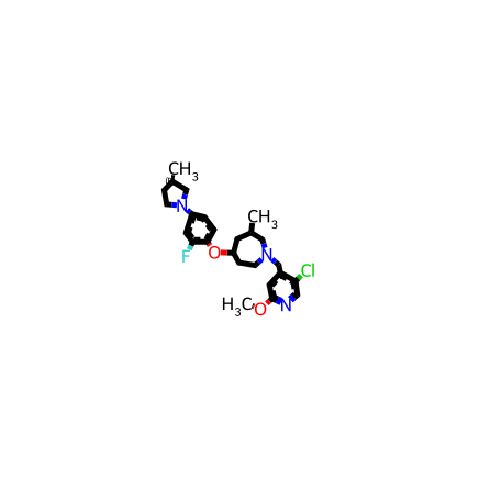 COc1cc(CN2CCC(Oc3ccc(N4CC[C@@H](C)C4)cc3F)CC(C)C2)c(Cl)cn1